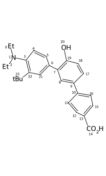 CCN(CC)c1ccc(-c2cc(-c3ccc(C(=O)O)cc3)ccc2O)cc1C(C)(C)C